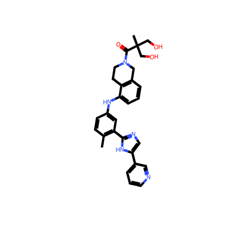 Cc1ccc(Nc2cccc3c2CCN(C(=O)C(C)(CO)CO)C3)cc1-c1ncc(-c2cccnc2)[nH]1